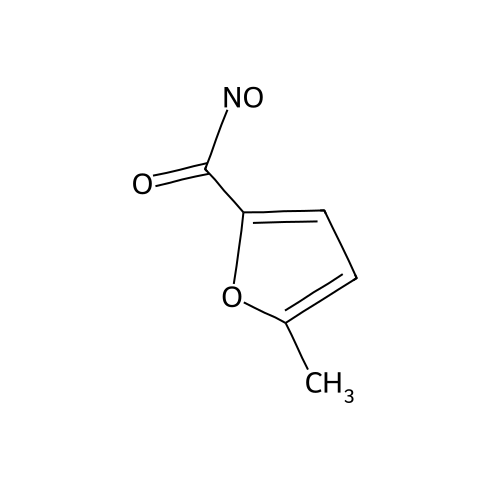 Cc1ccc(C(=O)N=O)o1